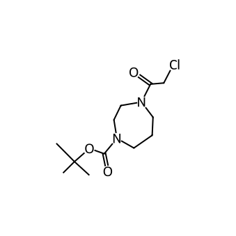 CC(C)(C)OC(=O)N1CCCN(C(=O)CCl)CC1